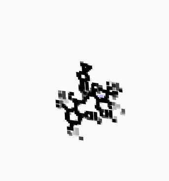 C=C/C(C(=C)N(CC(=C)c1c(C)cc(C)cc1Cl)CC1CC2(CC2)C1)=C(\C)C(C)(F)F